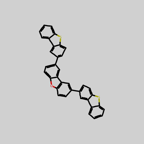 c1ccc2c(c1)sc1ccc(-c3ccc4oc5ccc(-c6ccc7sc8ccccc8c7c6)cc5c4c3)cc12